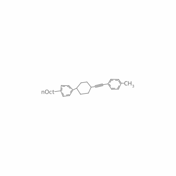 CCCCCCCCc1ccc(C2CCC(C#Cc3ccc(C)cc3)CC2)cc1